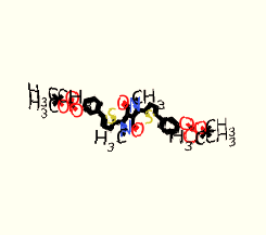 CN1C(=O)C2=C(c3ccc(-c4cccc(OC(=O)OC(C)(C)C)c4)s3)N(C)C(=O)C2=C1c1ccc(-c2cccc(OC(=O)OC(C)(C)C)c2)s1